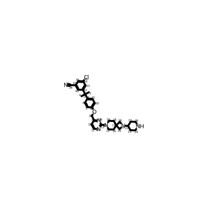 CC(C)(c1ccc(OCc2ccnc(N3CCC4(CC3)CN(C3CCNCC3)C4)n2)cc1)c1cc(Cl)cc(C#N)c1